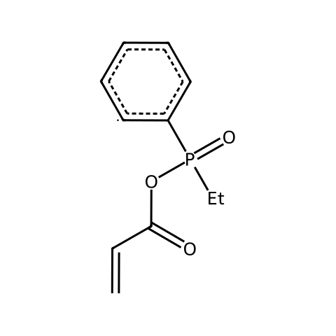 C=CC(=O)OP(=O)(CC)c1[c]cccc1